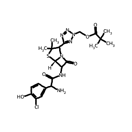 CC(C)(C)C(=O)OCn1nnc(C2N3C(=O)C(NC(=O)C(N)c4ccc(O)c(Cl)c4)[C@@H]3SC2(C)C)n1